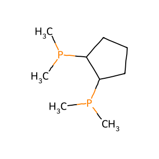 CP(C)C1CCCC1P(C)C